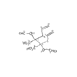 C=CCC(OC=O)(C(=O)O)C(CC=C)(OC=O)C(=O)O